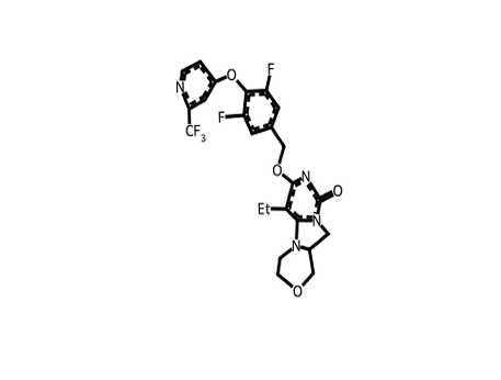 CCc1c(OCc2cc(F)c(Oc3ccnc(C(F)(F)F)c3)c(F)c2)nc(=O)n2c1N1CCOCC1C2